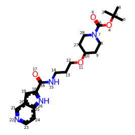 CC(C)(C)OC(=O)N1CCC(OCCCNC(=O)c2cc3cnccc3[nH]2)CC1